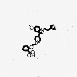 COc1ccc2c(c1)c(C1CCN(CCOc3ccccc3C(=O)O)CC1)cn2CCc1ccsc1